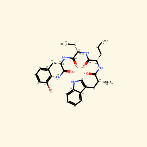 CSCC[C@H](NC(=O)[C@@H](Cc1c[nH]c2ccccc12)NC(C)=O)C(=O)N[C@@H](CC(=O)O)C(=O)N[C@@H](Cc1cccc(Br)c1)C(N)=O